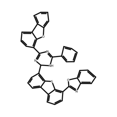 c1ccc(C2=NC(c3cccc4c3oc3ccccc34)=NC(c3cccc4c3sc3c(-c5nc6ccccc6o5)cccc34)N2)cc1